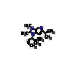 C/C=C\C(=C(C)C)N1c2cc(C(C)C)ncc2N(C)C1C